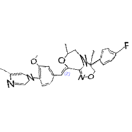 COc1cc(/C=C2\OC(C)CN3C2=NOCC3(C)c2ccc(F)cc2)ccc1-n1cnc(C)c1